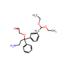 CCOC(C)OCC.NCCC(OCC=O)(c1ccccc1)c1ccccc1